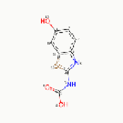 O=C(O)Nc1nc2ccc(O)cc2s1